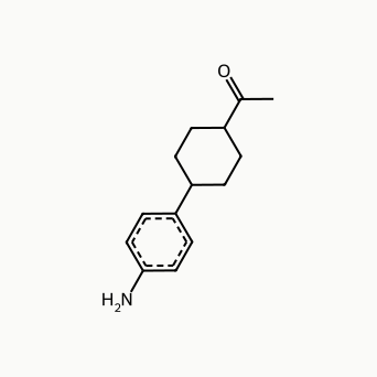 CC(=O)C1CCC(c2ccc(N)cc2)CC1